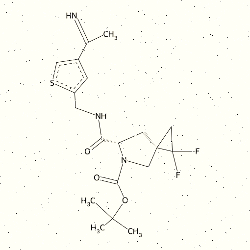 CC(=N)c1csc(CNC(=O)[C@@H]2C[C@]3(CN2C(=O)OC(C)(C)C)CC3(F)F)c1